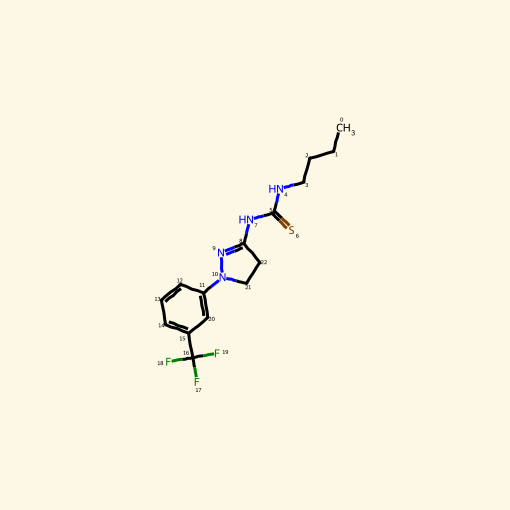 CCCCNC(=S)NC1=NN(c2cccc(C(F)(F)F)c2)CC1